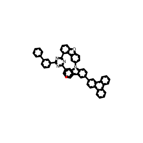 c1ccc(-c2cccc(-c3nc(-c4ccccc4)nc(-c4cccc5oc6ccc(-n7c8ccccc8c8cc(-c9ccc%10c%11ccccc%11c%11ccccc%11c%10c9)ccc87)cc6c45)n3)c2)cc1